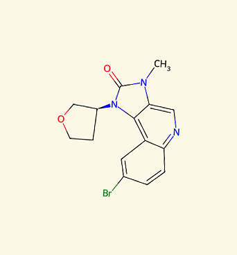 Cn1c(=O)n([C@H]2CCOC2)c2c3cc(Br)ccc3ncc21